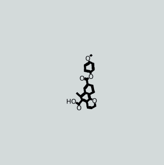 COc1ccc(OC(=O)c2ccc3c4c(c(C(=O)O)c(C)c3c2)C=CCO4)cc1